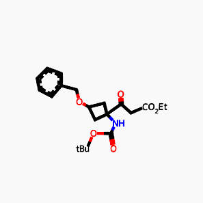 CCOC(=O)CC(=O)C1(NC(=O)OC(C)(C)C)CC(OCc2ccccc2)C1